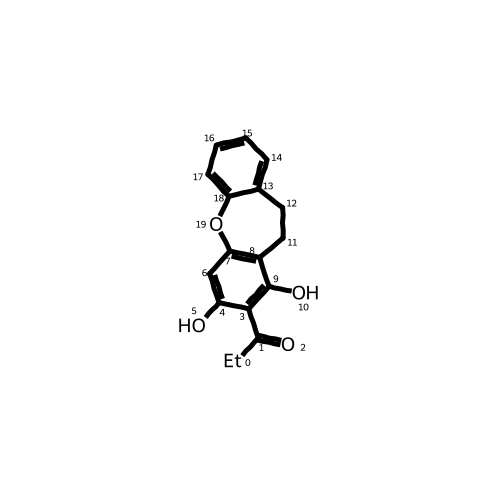 CCC(=O)c1c(O)cc2c(c1O)CCc1ccccc1O2